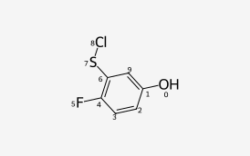 Oc1ccc(F)c(SCl)c1